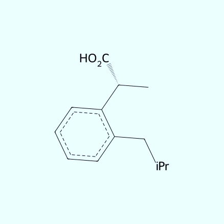 CC(C)Cc1ccccc1[C@@H](C)C(=O)O